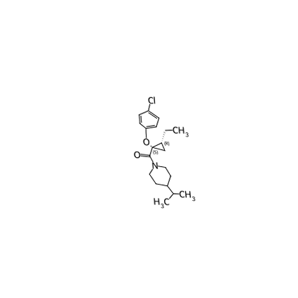 CC[C@@H]1C[C@@]1(Oc1ccc(Cl)cc1)C(=O)N1CCC(C(C)C)CC1